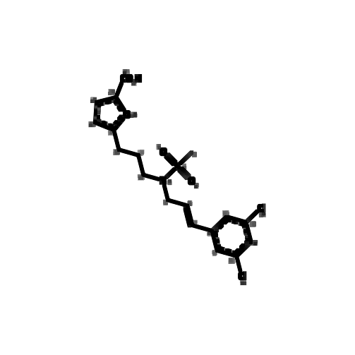 CS(=O)(=O)N(C/C=C/c1cc(Cl)cc(Cl)c1)CCCc1ccc(C(=O)O)o1